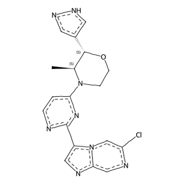 C[C@H]1[C@H](c2cn[nH]c2)OCCN1c1ccnc(-c2cnc3cnc(Cl)cn23)n1